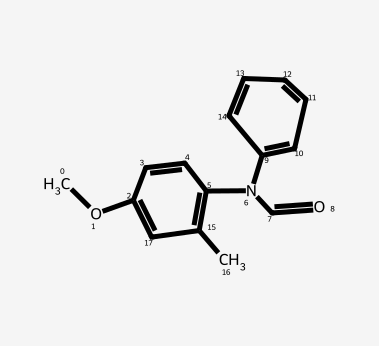 COc1ccc(N(C=O)c2ccccc2)c(C)c1